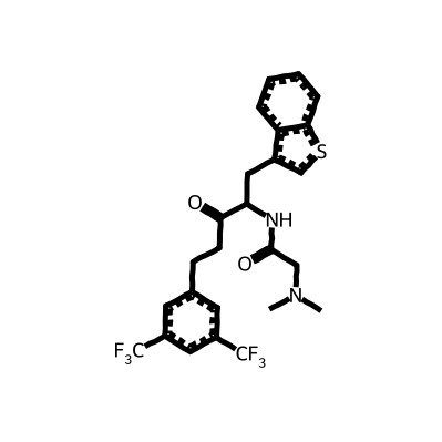 CN(C)CC(=O)NC(Cc1csc2ccccc12)C(=O)CCc1cc(C(F)(F)F)cc(C(F)(F)F)c1